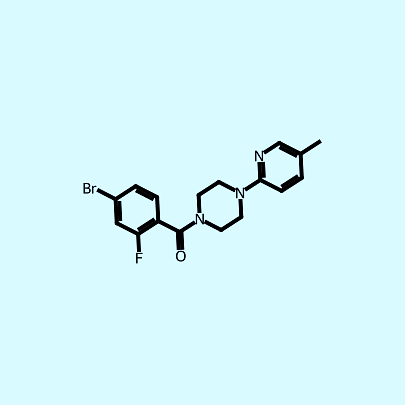 Cc1ccc(N2CCN(C(=O)c3ccc(Br)cc3F)CC2)nc1